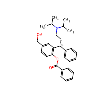 CC(C)N(CC[C@H](c1ccccc1)c1cc(CO)ccc1OC(=O)c1ccccc1)C(C)C